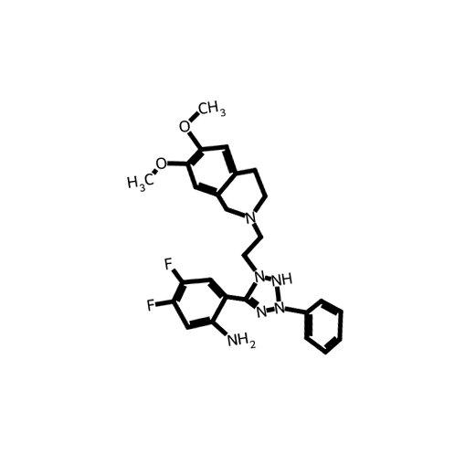 COc1cc2c(cc1OC)CN(CCN1NN(c3ccccc3)N=C1c1cc(F)c(F)cc1N)CC2